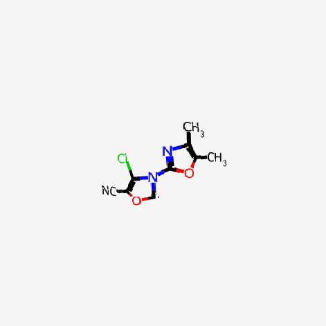 Cc1nc(N2[CH]OC(C#N)=C2Cl)oc1C